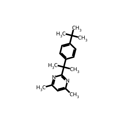 Cc1cc(C)nc(C(C)(C)c2ccc(C(C)(C)C)cc2)n1